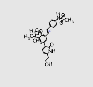 COc1c(/C=C/c2ccc(NS(C)(=O)=O)cc2)cc(-c2ccc(CCO)[nH]c2=O)cc1C(C)(C)C